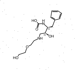 O=C(O)N[C@@H](Cc1ccccc1)[C@@H](O)CNCCOCCO